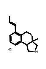 CC=Cc1cccc2c1COC1(C)CNCC21.Cl